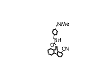 CNCc1ccc(CNC(=O)Cn2c3ccccc3c3cccc(C#N)c32)cc1